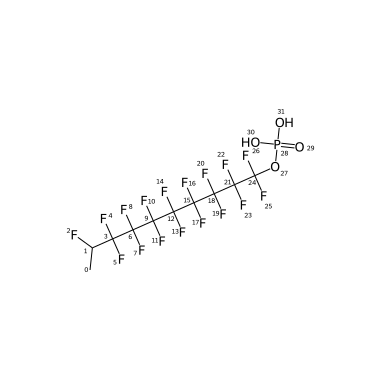 CC(F)C(F)(F)C(F)(F)C(F)(F)C(F)(F)C(F)(F)C(F)(F)C(F)(F)C(F)(F)OP(=O)(O)O